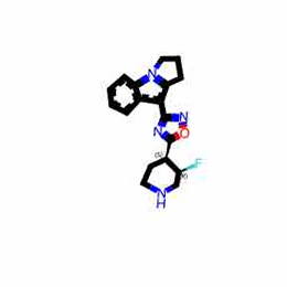 F[C@H]1CNCC[C@H]1c1nc(-c2c3n(c4ccccc24)CCC3)no1